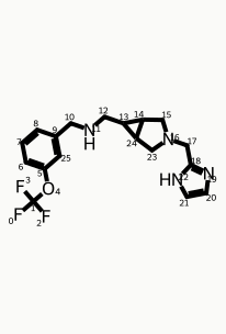 FC(F)(F)Oc1cccc(CNCC2C3CN(Cc4ncc[nH]4)CC23)c1